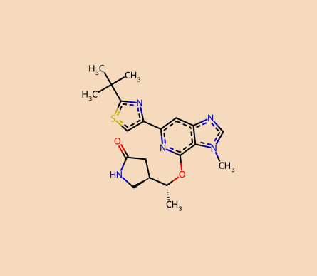 C[C@@H](Oc1nc(-c2csc(C(C)(C)C)n2)cc2ncn(C)c12)[C@H]1CNC(=O)C1